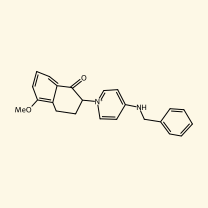 COc1cccc2c1CCC([n+]1ccc(NCc3ccccc3)cc1)C2=O